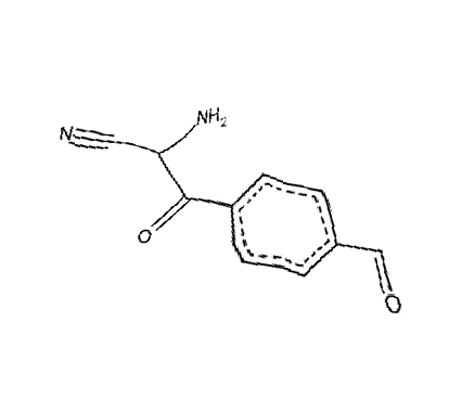 N#CC(N)C(=O)c1ccc(C=O)cc1